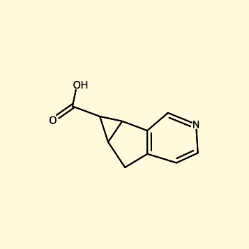 O=C(O)C1C2Cc3ccncc3C21